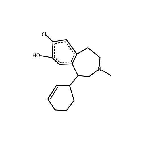 CN1CCc2cc(Cl)c(O)cc2C(C2C=CCCC2)C1